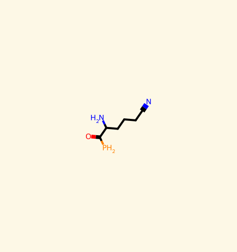 N#CCCCC(N)C(=O)P